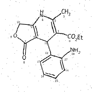 CCOC(=O)C1=C(C)NC2=C(C(=O)OC2)C1c1ccccc1N